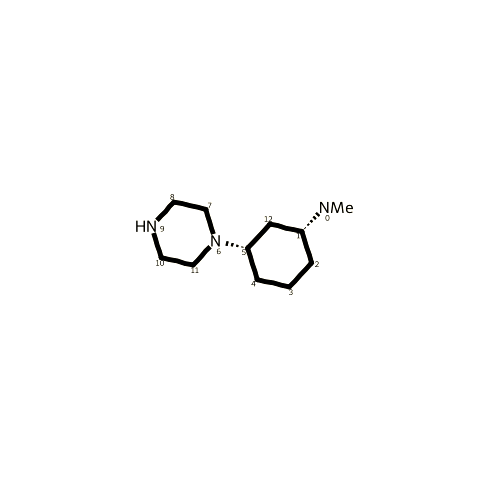 CN[C@@H]1CCC[C@H](N2CCNCC2)C1